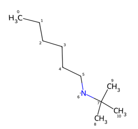 CCCCCC[N]C(C)(C)C